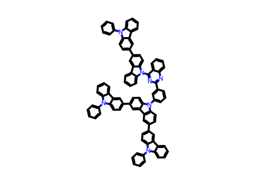 c1ccc(-n2c3ccccc3c3cc(-c4ccc5c(c4)c4cc(-c6ccc7c(c6)c6ccccc6n7-c6ccccc6)ccc4n5-c4cccc(-c5nc(-n6c7ccccc7c7cc(-c8ccc9c(c8)c8ccccc8n9-c8ccccc8)ccc76)c6ccccc6n5)c4)ccc32)cc1